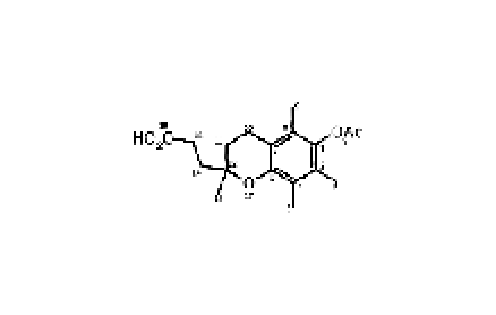 CC(=O)Oc1c(C)c(C)c2c(c1C)CCC(C)(CCC(=O)O)O2